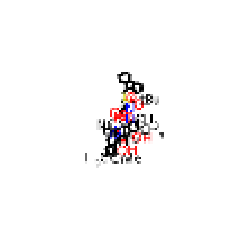 COc1c(C)cc2c(c1O)[C@@H]1[C@@H]3Cc4c(O)c(C)c(C)c(O)c4[C@H](COC(=O)[C@@H](CSCC4c5ccccc5-c5ccccc54)NC(=O)OC(C)(C)C)N3[C@@H](C#N)[C@H](C2)N1C